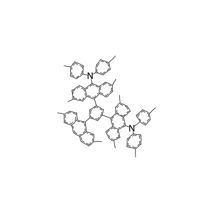 Cc1ccc(N(c2ccc(C)cc2)c2c3ccc(C)cc3c(-c3cc(-c4c5ccc(C)cc5cc5ccc(C)cc45)cc(-c4c5cc(C)ccc5c(N(c5ccc(C)cc5)c5ccc(C)cc5)c5cc(C)ccc45)c3)c3ccc(C)cc23)cc1